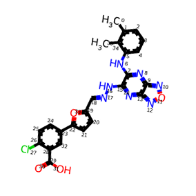 Cc1cccc(Nc2nc3nonc3nc2NN=Cc2ccc(-c3ccc(Cl)c(C(=O)O)c3)o2)c1C